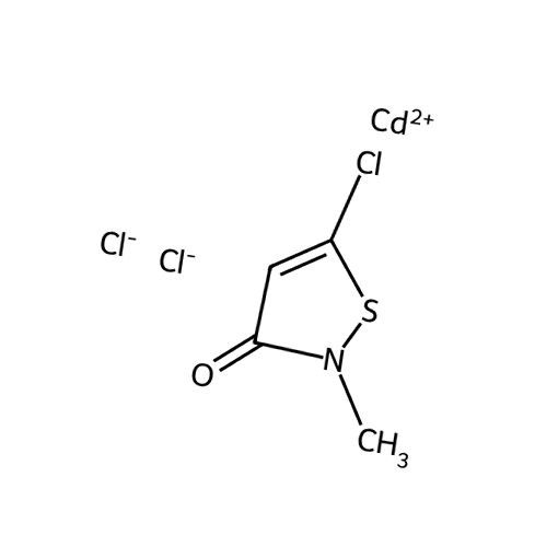 Cn1sc(Cl)cc1=O.[Cd+2].[Cl-].[Cl-]